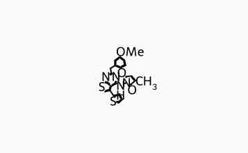 COc1cccc(Cc2nc(NN3C(=O)C=C(C)C3=O)c3c(-c4cccs4)csc3n2)c1